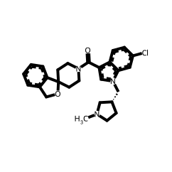 CN1CC[C@@H](Cn2cc(C(=O)N3CCC4(CC3)OCc3ccccc34)c3ccc(Cl)cc32)C1